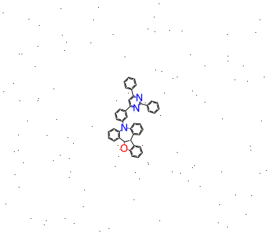 c1ccc(-c2cc(-c3cccc(N4c5ccccc5C5Oc6ccccc6C5c5ccccc54)c3)nc(-c3ccccc3)n2)cc1